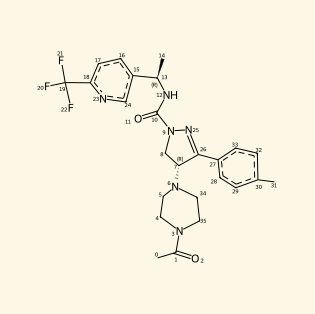 CC(=O)N1CCN([C@@H]2CN(C(=O)N[C@H](C)c3ccc(C(F)(F)F)nc3)N=C2c2ccc(C)cc2)CC1